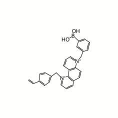 C=Cc1ccc(C[n+]2cccc3ccc4c(ccc[n+]4Cc4cccc(B(O)O)c4)c32)cc1